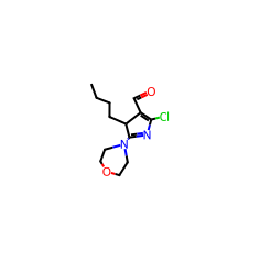 CCCCC1C(N2CCOCC2)=NC(Cl)=C1C=O